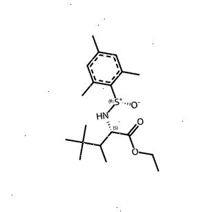 CCOC(=O)[C@@H](N[S@@+]([O-])c1c(C)cc(C)cc1C)C(C)C(C)(C)C